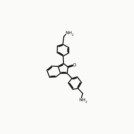 NCc1ccc(C2=c3ccccc3=C(c3ccc(CN)cc3)C2=O)cc1